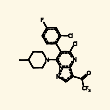 CC1CCN(c2c(-c3ccc(F)cc3Cl)c(Cl)nc3c(C(=O)C(F)(F)F)cnn23)CC1